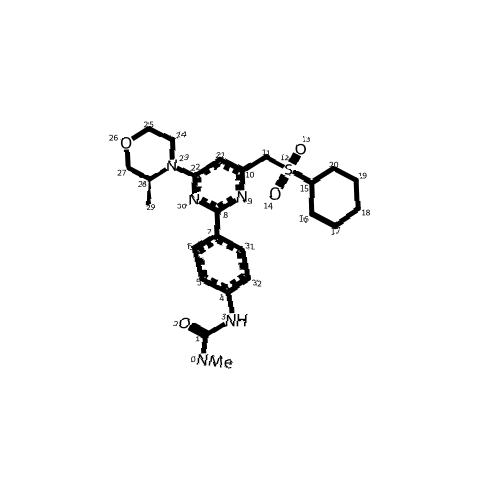 CNC(=O)Nc1ccc(-c2nc(CS(=O)(=O)C3CCCCC3)cc(N3CCOC[C@@H]3C)n2)cc1